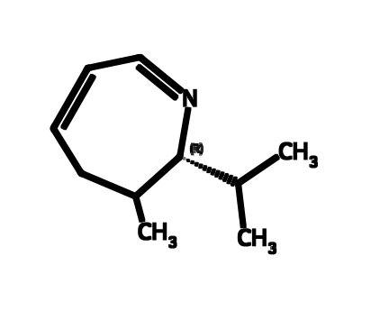 CC(C)[C@H]1N=CC=CCC1C